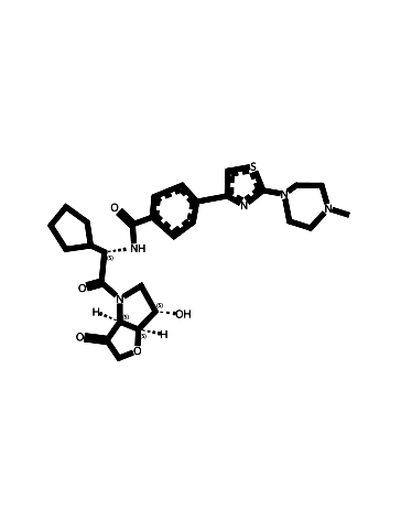 CN1CCN(c2nc(-c3ccc(C(=O)N[C@H](C(=O)N4C[C@H](O)[C@H]5OCC(=O)[C@H]54)C4CCCC4)cc3)cs2)CC1